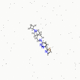 c1csc(-c2ccc(N3CCC4(CC3)CCN(C3CCC3)CC4)nn2)n1